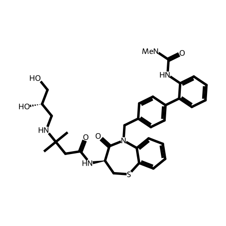 CNC(=O)Nc1ccccc1-c1ccc(CN2C(=O)[C@H](NC(=O)CC(C)(C)NC[C@H](O)CO)CSc3ccccc32)cc1